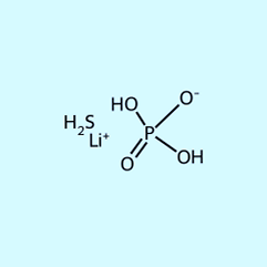 O=P([O-])(O)O.S.[Li+]